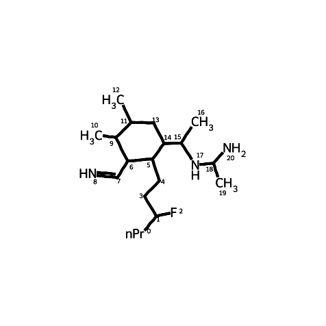 CCCC(F)CCC1C(C=N)C(C)C(C)CC1C(C)NC(C)N